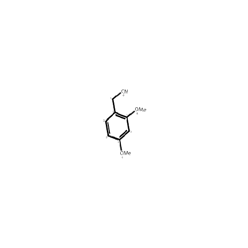 COc1ccc(CC#N)c(OC)c1